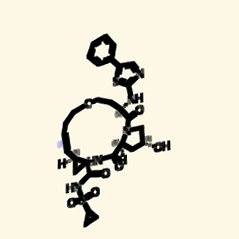 O=C1N[C@]2(C(=O)NS(=O)(=O)C3CC3)C[C@H]2/C=C\CCCCC[C@H](Nc2ncc(-c3ccccc3)s2)C(=O)N2C[C@H](O)C[C@@H]12